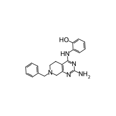 Nc1nc2c(c(Nc3ccccc3O)n1)CCN(Cc1ccccc1)C2